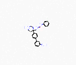 Nc1cccc(-c2ccc(C3(CNC(=O)Nc4cc(Cl)cc(Cl)c4)CCNCC3)cc2)c1